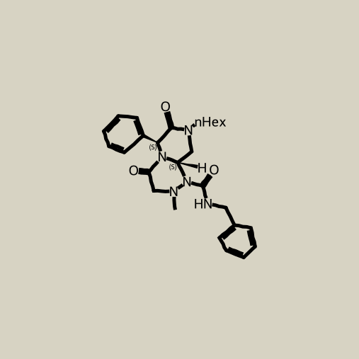 CCCCCCN1C[C@H]2N(C(=O)CN(C)N2C(=O)NCc2ccccc2)[C@@H](c2ccccc2)C1=O